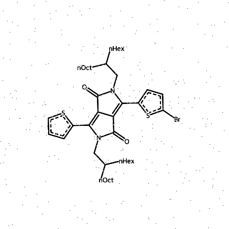 CCCCCCCCC(CCCCCC)CN1C(=O)C2=C(c3ccc(Br)s3)N(CC(CCCCCC)CCCCCCCC)C(=O)C2=C1c1cccs1